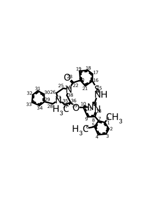 Cc1cccc(C)c1-c1cc2nc(n1)NSc1cccc(c1)C(=O)N1CCN(Cc3ccccc3)CC(C)(C1)O2